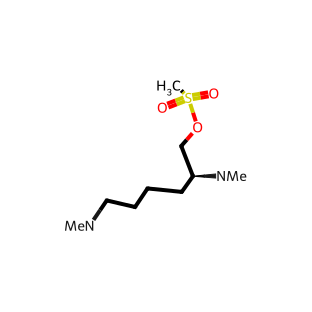 CNCCCC[C@@H](COS(C)(=O)=O)NC